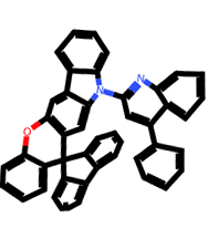 c1ccc(-c2cc(-n3c4ccccc4c4cc5c(cc43)C3(c4ccccc4O5)c4ccccc4-c4ccccc43)nc3ccccc23)cc1